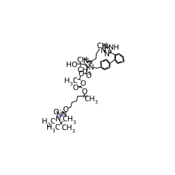 CCCCc1nc(C(C)(C)O)c(C(=O)OC(C)OC(=O)O[C@@H](C)CCCCO/N=[N+](\[O-])N(C)C(C)(C)C)n1Cc1ccc(-c2ccccc2-c2nnn[nH]2)cc1